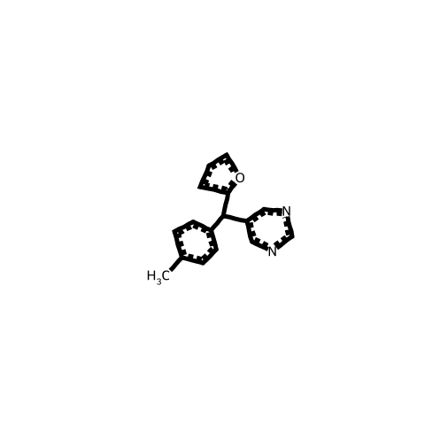 Cc1ccc(C(c2cncnc2)c2ccco2)cc1